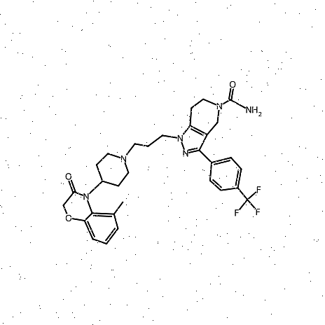 Cc1cccc2c1N(C1CCN(CCCn3nc(-c4ccc(C(F)(F)F)cc4)c4c3CCN(C(N)=O)C4)CC1)C(=O)CO2